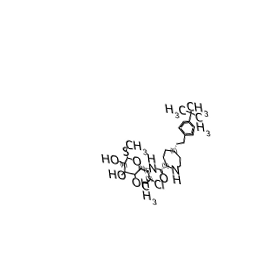 CSC1O[C@H]([C@H](NC(=O)[C@@H]2CC[C@H](CCc3ccc(C(C)(C)C)cc3)CCN2)[C@H](C)Cl)C(O)C(O)[C@H]1O